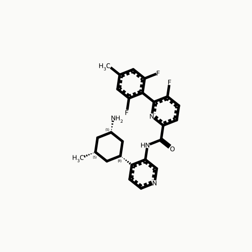 Cc1cc(F)c(-c2nc(C(=O)Nc3cnccc3[C@@H]3C[C@H](C)C[C@H](N)C3)ccc2F)c(F)c1